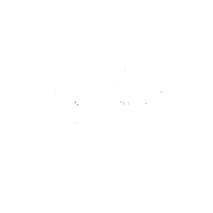 N#Cc1cnc2c(c1)CCCC2Nc1ccc(NPI)c(C(=N)C(F)(F)F)c1